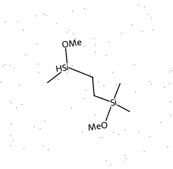 CO[SiH](C)CC[Si](C)(C)OC